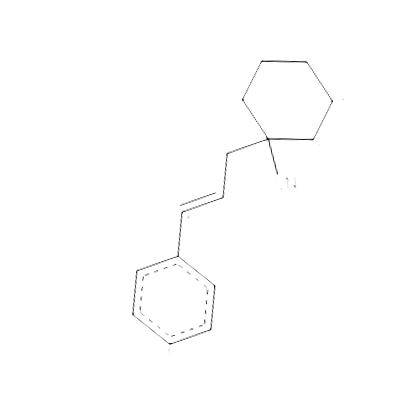 N#CC1(CC=Cc2ccccc2)CCCCC1